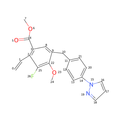 C=Cc1c(C(=O)OC)cc(Cc2ccc(-n3cccn3)cc2)c(OC)c1F